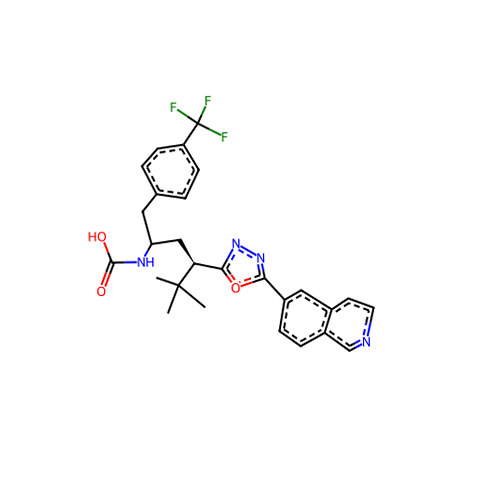 CC(C)(C)[C@@H](CC(Cc1ccc(C(F)(F)F)cc1)NC(=O)O)c1nnc(-c2ccc3cnccc3c2)o1